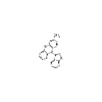 Cc1ccc2c(c1)Sc1ccccc1C2n1nnc2ccccc21